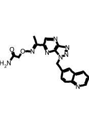 CC(=NOCC(N)=O)c1cnc2nnn(Cc3ccc4ncccc4c3)c2n1